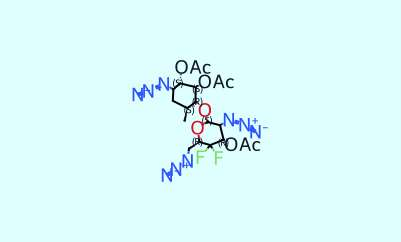 CC(=O)O[C@H]1[C@H](O[C@H]2O[C@H](CN=[N+]=[N-])C(F)(F)[C@H](OC(C)=O)C2N=[N+]=[N-])[C@@H](C)CC(N=[N+]=[N-])[C@@H]1OC(C)=O